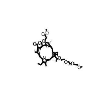 CCC1=C(C)c2cc3[nH]c(cc4nc(c5c6[nH]c(cc1n2)c(C)c6C(=O)OC5=O)[C@@H](CCC(=O)OC)[C@@H]4C)c(C)c3C(C)OCCOCCOCCOC